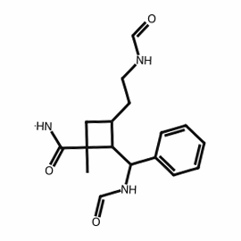 CC1(C([NH])=O)CC(CCNC=O)C1C(NC=O)c1ccccc1